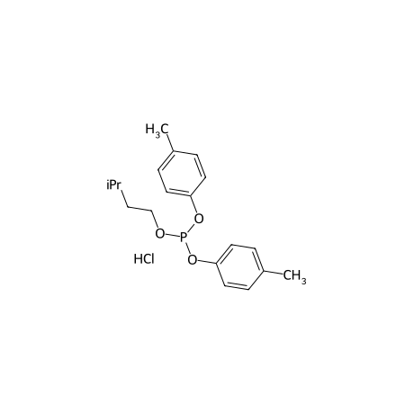 Cc1ccc(OP(OCCC(C)C)Oc2ccc(C)cc2)cc1.Cl